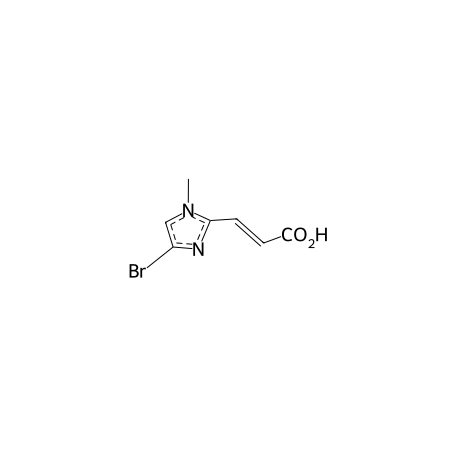 Cn1cc(Br)nc1C=CC(=O)O